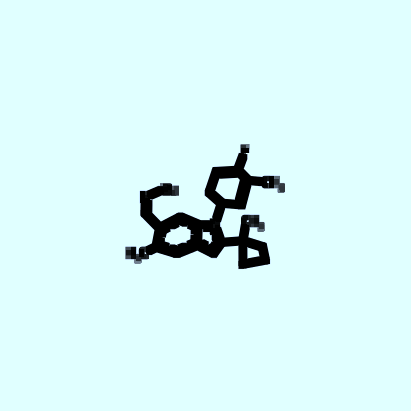 CCC(C)/N=C\c1cc2c(cc1C)cc(C1(C)CCC1)n2C1C=C(C)C(F)=CC1